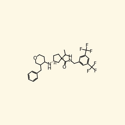 CC(C)[C@]1(C(=O)NCc2cc(C(F)(F)F)cc(C(F)(F)F)c2)CC[C@@H](NC2CCOCC2Cc2ccccc2)C1